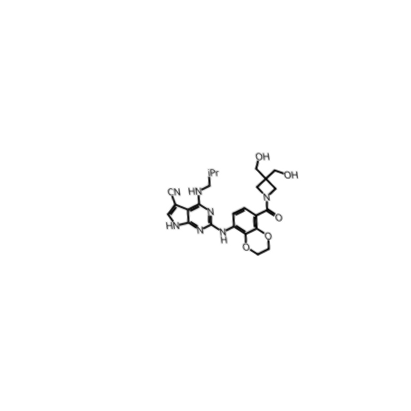 CC(C)CNc1nc(Nc2ccc(C(=O)N3CC(CO)(CO)C3)c3c2OCCO3)nc2[nH]cc(C#N)c12